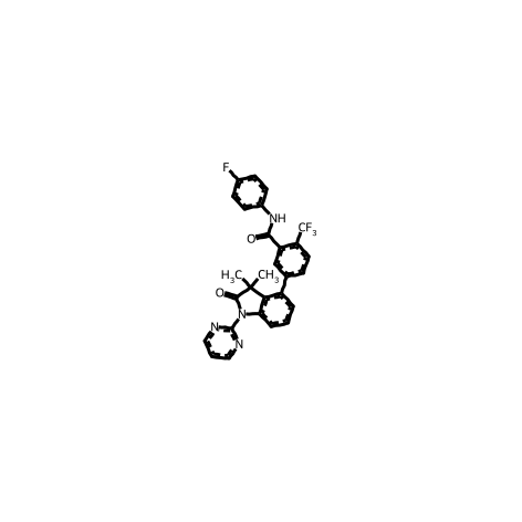 CC1(C)C(=O)N(c2ncccn2)c2cccc(-c3ccc(C(F)(F)F)c(C(=O)Nc4ccc(F)cc4)c3)c21